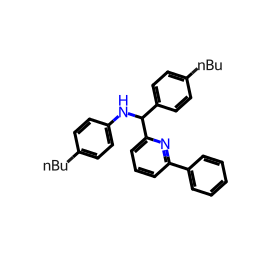 CCCCc1ccc(NC(c2ccc(CCCC)cc2)c2cccc(-c3ccccc3)n2)cc1